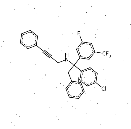 Fc1cc(C(F)(F)F)cc(C(Cc2ccccc2)(NCC#Cc2ccccc2)c2ccc(Cl)cn2)c1